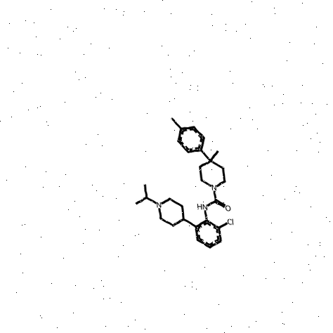 Cc1ccc(C2(C)CCN(C(=O)Nc3c(Cl)cccc3C3CCN(C(C)C)CC3)CC2)cc1